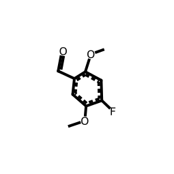 COc1cc(C=O)c(OC)cc1F